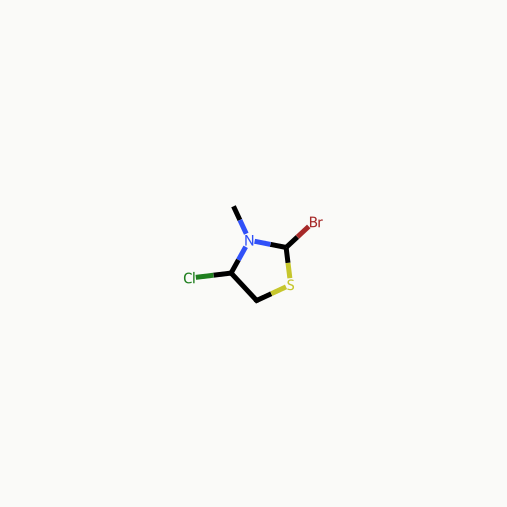 CN1C(Cl)CSC1Br